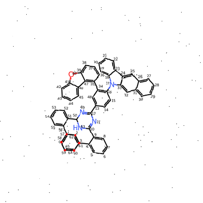 c1ccc(-c2ccccc2C2=NC(c3ccc(-n4c5ccccc5c5cc6ccccc6cc54)c(-c4cccc5oc6ccccc6c45)c3)=NC(c3ccccc3-c3ccccc3)N2)cc1